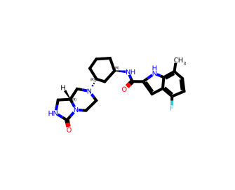 Cc1ccc(F)c2cc(C(=O)N[C@@H]3CCC[C@@H](N4CCN5C(=O)NC[C@@H]5C4)C3)[nH]c12